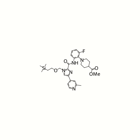 COC(=O)C1CCN(c2c(F)cccc2NC(=O)c2nc(-c3ccnc(C)c3)cn2COCC[Si](C)(C)C)CC1